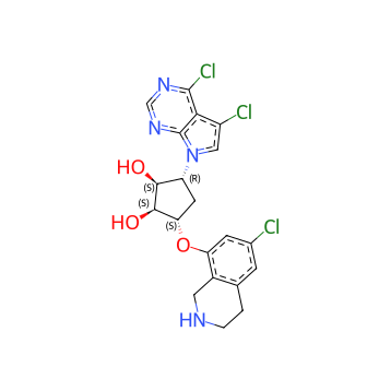 O[C@@H]1[C@H](O)[C@@H](Oc2cc(Cl)cc3c2CNCC3)C[C@H]1n1cc(Cl)c2c(Cl)ncnc21